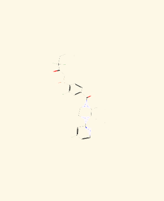 CCC(F)(F)C(=O)C[S+]([O-])c1ccc(C(=O)N2CCN(c3cc(Cl)ccn3)[C@@H](C)[C@@H]2C)cc1Cl